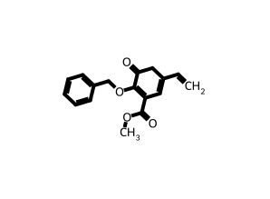 C=CC1=CC(C(=O)OC)=C(OCc2ccccc2)C(=O)C1